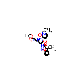 CCn1cccc(NC(=O)C(CC/C=C/C(=O)OC)NC(=O)c2oc3ccccc3c2C)c1=O